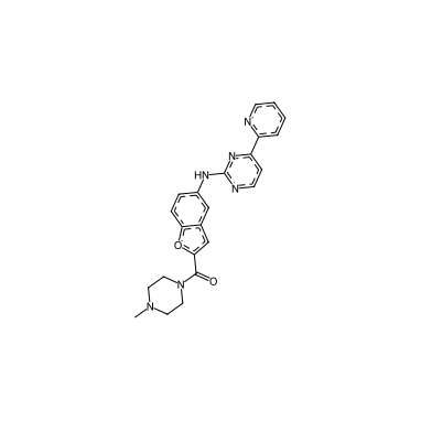 CN1CCN(C(=O)c2cc3cc(Nc4nccc(-c5ccccn5)n4)ccc3o2)CC1